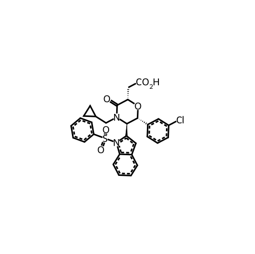 O=C(O)C[C@@H]1O[C@H](c2cccc(Cl)c2)[C@@H](c2cc3ccccc3n2S(=O)(=O)c2ccccc2)N(CC2CC2)C1=O